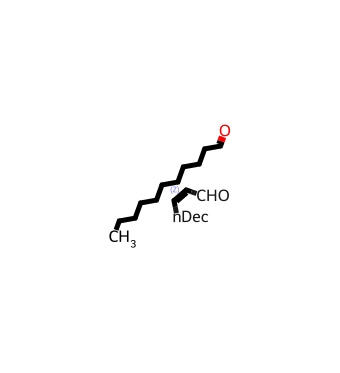 CCCCCCCCCC/C=C\C=O.CCCCCCCCCCC=O